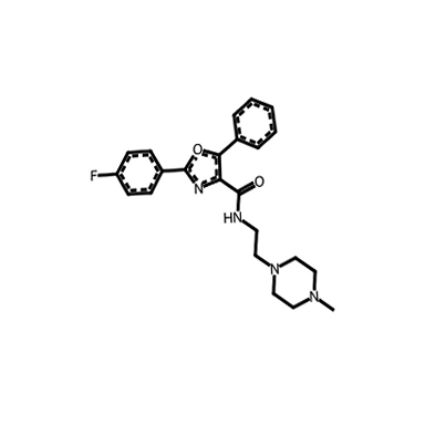 CN1CCN(CCNC(=O)c2nc(-c3ccc(F)cc3)oc2-c2ccccc2)CC1